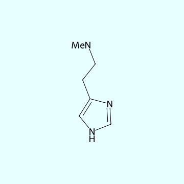 [CH2]NCCc1c[nH]cn1